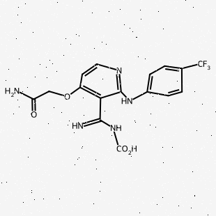 N=C(NC(=O)O)c1c(OCC(N)=O)ccnc1Nc1ccc(C(F)(F)F)cc1